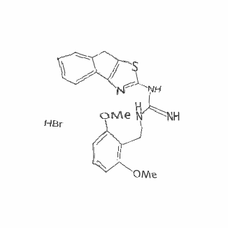 Br.COc1cccc(OC)c1CNC(=N)Nc1nc2c(s1)Cc1ccccc1-2